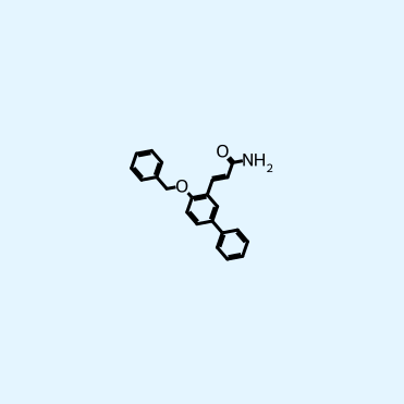 NC(=O)C=Cc1cc(-c2ccccc2)ccc1OCc1ccccc1